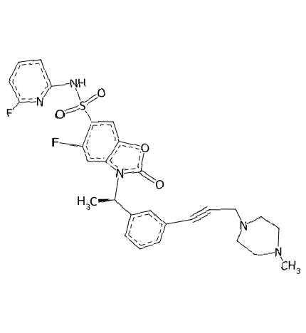 C[C@H](c1cccc(C#CCN2CCN(C)CC2)c1)n1c(=O)oc2cc(S(=O)(=O)Nc3cccc(F)n3)c(F)cc21